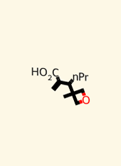 C=C(C(=O)O)C(CCC)C1(C)COC1